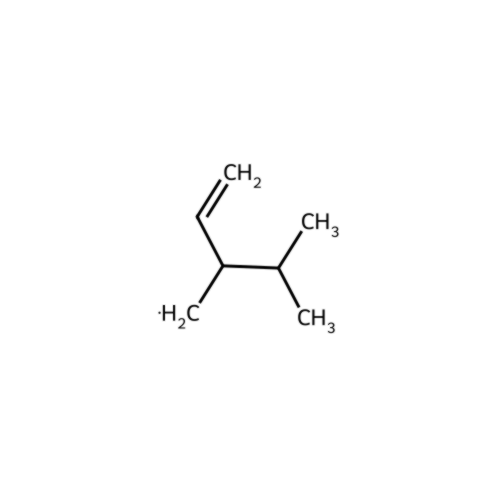 [CH2]C(C=C)C(C)C